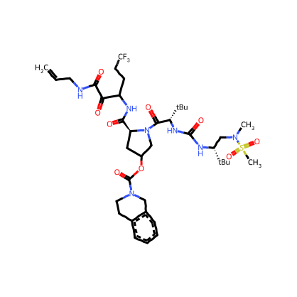 C=CCNC(=O)C(=O)C(CCC(F)(F)F)NC(=O)[C@@H]1CC(OC(=O)N2CCc3ccccc3C2)CN1C(=O)[C@@H](NC(=O)N[C@H](CN(C)S(C)(=O)=O)C(C)(C)C)C(C)(C)C